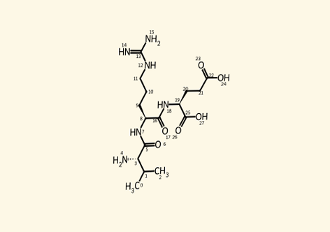 CC(C)[C@H](N)C(=O)N[C@@H](CCCNC(=N)N)C(=O)N[C@@H](CCC(=O)O)C(=O)O